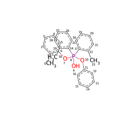 Cc1ccccc1OP(O)(Oc1ccccc1)(c1ccccc1C)c1ccccc1C